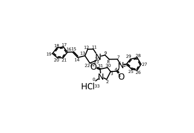 CN1CC(C(=O)N(CCCN2CCC(/C=C/c3ccccc3)CC2)c2ccccc2)CC1=O.Cl